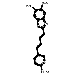 COc1cc2nc(/C=C/C=C/c3ccc(NC(C)=O)nc3)sc2cc1O[11CH3]